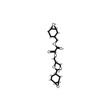 O=C(OCC1CCC2OC2C1)C(=O)OCC1COC(C2CCC3OC3C2)O1